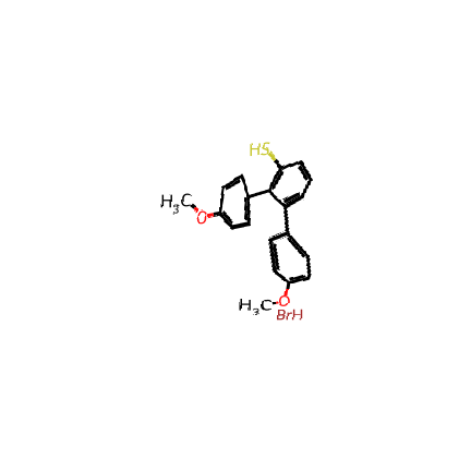 Br.COc1ccc(-c2cccc(S)c2-c2ccc(OC)cc2)cc1